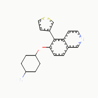 NC1CCC(Oc2ccc3cnccc3c2-c2ccsc2)CC1